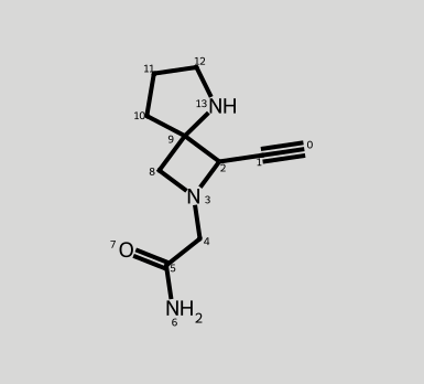 C#CC1N(CC(N)=O)CC12CCCN2